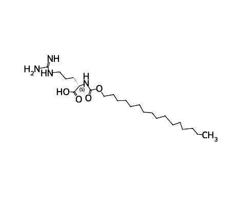 CCCCCCCCCCCCCCCCOC(=O)N[C@@H](CCCNC(=N)N)C(=O)O